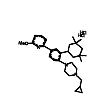 COc1cccc(-c2ccc(N3CCN(CC4CC4)CC3)c(C3CC(C)(C)CC(C)(C)C3)c2)n1.Cl.Cl